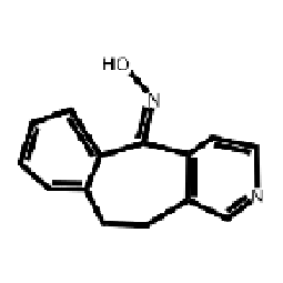 O/N=C1\c2ccccc2CCc2cnccc21